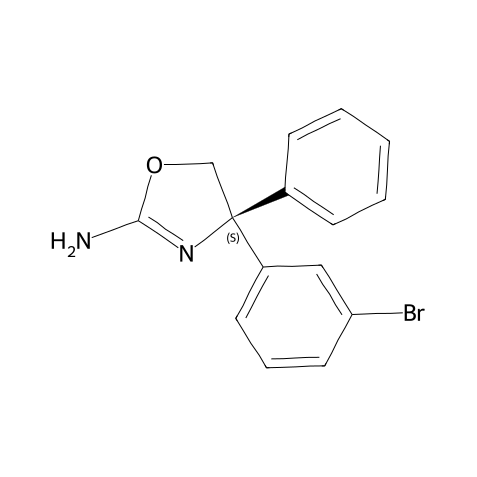 NC1=N[C@@](c2ccccc2)(c2cccc(Br)c2)CO1